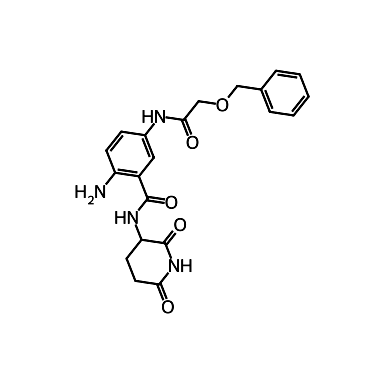 Nc1ccc(NC(=O)COCc2ccccc2)cc1C(=O)NC1CCC(=O)NC1=O